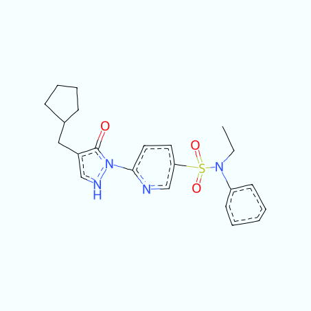 CCN(c1ccccc1)S(=O)(=O)c1ccc(-n2[nH]cc(CC3CCCC3)c2=O)nc1